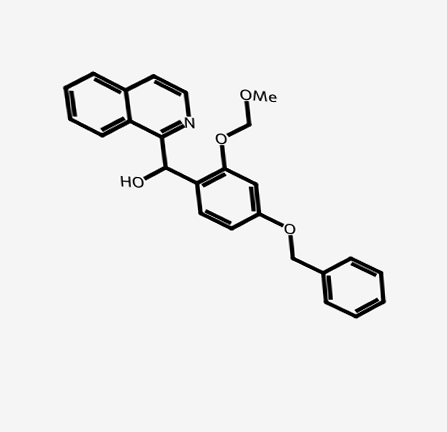 COCOc1cc(OCc2ccccc2)ccc1C(O)c1nccc2ccccc12